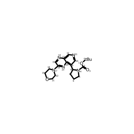 CC(C)(C)OC(=O)N1CCCC1c1cncc2ncc(N3CCOCC3)nc12